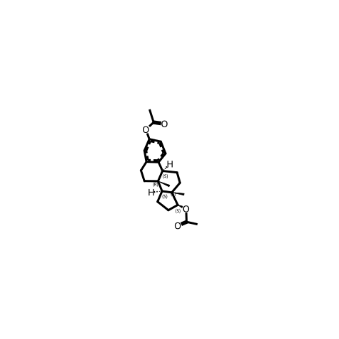 CC(=O)Oc1ccc2c(c1)CC[C@@]1(C)[C@@H]3CC[C@H](OC(C)=O)[C@@]3(C)CC[C@H]21